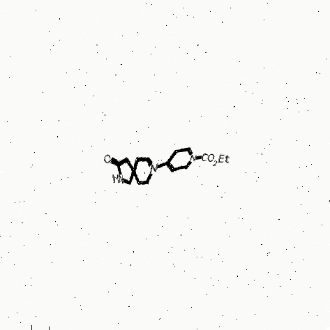 CCOC(=O)N1CCC(N2CCC3(CC2)CNC(=O)C3)CC1